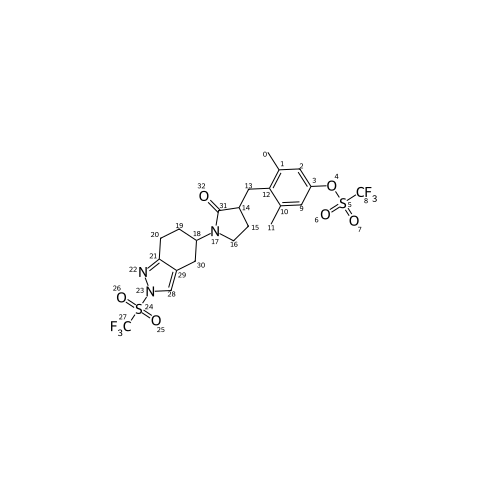 Cc1cc(OS(=O)(=O)C(F)(F)F)cc(C)c1CC1CCN(C2CCc3nn(S(=O)(=O)C(F)(F)F)cc3C2)C1=O